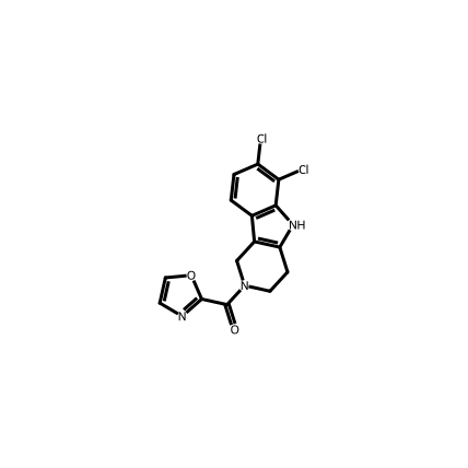 O=C(c1ncco1)N1CCc2[nH]c3c(Cl)c(Cl)ccc3c2C1